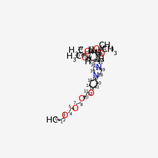 C#CCOCCOCCOCCOc1ccc(N2CCN(C[C@H]3C[C@H]4OC(C)(C)O[C@H]4[C@H]4OC(C)(C)O[C@@H]34)CC2)cc1